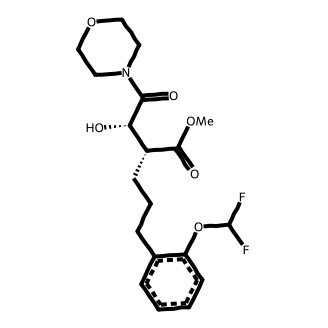 COC(=O)[C@H](CCCc1ccccc1OC(F)F)[C@H](O)C(=O)N1CCOCC1